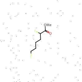 COC(=O)C(F)CCCCF